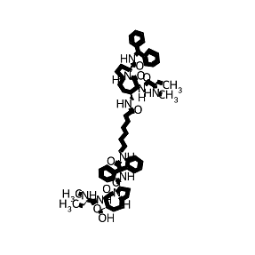 CC[C@H](NC)C(=O)N[C@@H]1C(=O)N2[C@@H](CC[C@@H]1CNC(=O)CCCCCCCNC(=O)C(NC(=O)[C@@H]1CC[C@@H]3CC[C@H](CO)[C@H](NC(=O)[C@H](CC)NC)C(=O)N31)(c1ccccc1)c1ccccc1)CC[C@H]2C(=O)NC(c1ccccc1)c1ccccc1